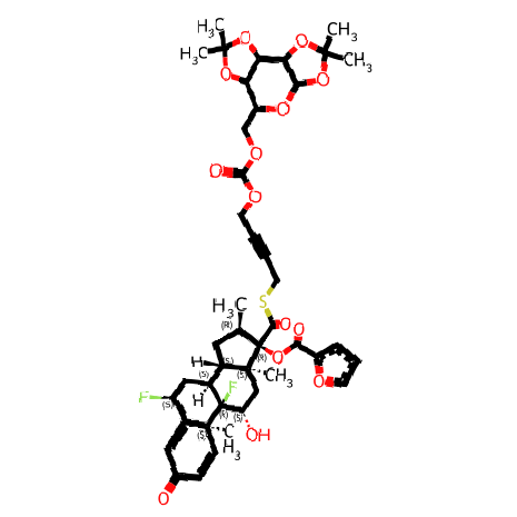 C[C@@H]1C[C@H]2[C@@H]3C[C@H](F)C4=CC(=O)C=C[C@]4(C)[C@@]3(F)[C@@H](O)C[C@]2(C)[C@@]1(OC(=O)c1ccco1)C(=O)SCC#CCOC(=O)OCC1OC2OC(C)(C)OC2C2OC(C)(C)OC12